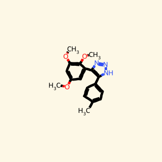 COc1cc(OC)c(OC)c(-c2nn[nH]c2-c2ccc(C)cc2)c1